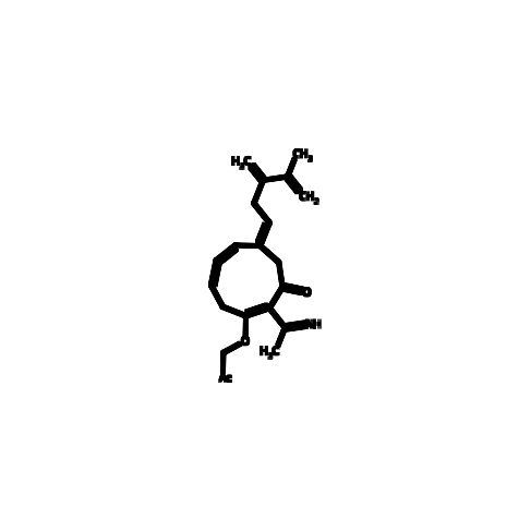 C=C(C)C(=C)C/C=C1\C=C=CC/C(OCC(C)=O)=C(/C(C)=N)C(=O)C1